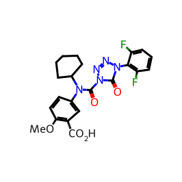 COc1ccc(N(C(=O)n2nnn(-c3c(F)cccc3F)c2=O)C2CCCCC2)cc1C(=O)O